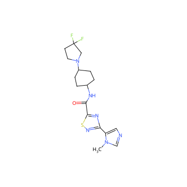 Cn1cncc1-c1nsc(C(=O)NC2CCC(N3CCC(F)(F)C3)CC2)n1